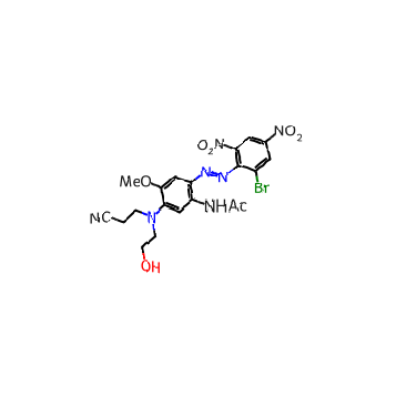 COc1cc(N=Nc2c(Br)cc([N+](=O)[O-])cc2[N+](=O)[O-])c(NC(C)=O)cc1N(CCO)CCC#N